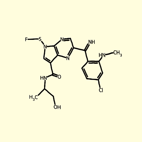 CNc1cc(Cl)ccc1C(=N)c1cnc2c(n1)c(C(=O)NC(C)CO)cn2SF